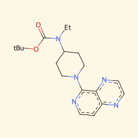 CCN(C(=O)OC(C)(C)C)C1CCN(c2nccc3nccnc23)CC1